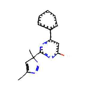 CC1=CC(C)(c2nc(O)cc(-c3ccccc3)n2)N=N1